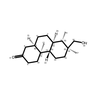 C[C@H]1[C@@H]2CC[C@@H]3CC(=O)CC[C@]3(C)[C@H]2CC[C@]1(C)CO